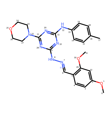 COc1ccc(/C=N/Nc2nc(Nc3ccc(C)cc3)nc(N3CCOCC3)n2)c(OC)c1